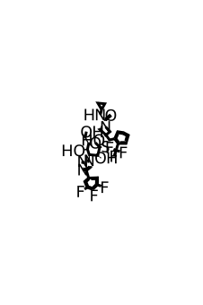 O=C(NC1CC1)N1CC(O)([C@H](S[C@@H]2O[C@H](CO)[C@H](O)[C@H](n3cc(-c4cc(F)c(F)c(F)c4)nn3)[C@H]2O)c2ccccc2C(F)(F)F)C1